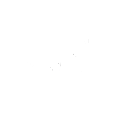 Clc1ccc(Cl)c(/C=N/Nc2ccccc2)n1